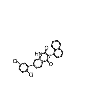 O=c1[nH]c2cc(-c3cc(Cl)ccc3Cl)ccc2c(=O)n1-c1cccc2ccccc12